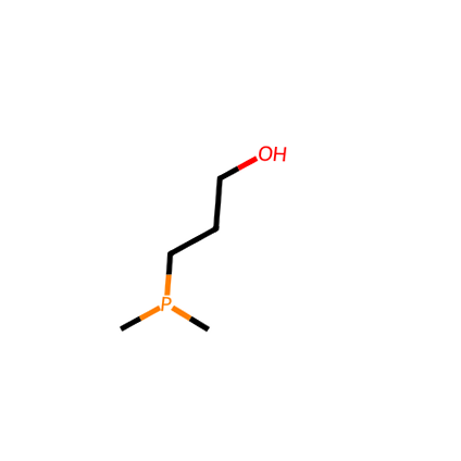 CP(C)CCCO